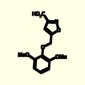 COc1cccc(OC)c1OCc1cc(C(=O)O)no1